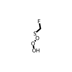 OOOSCF